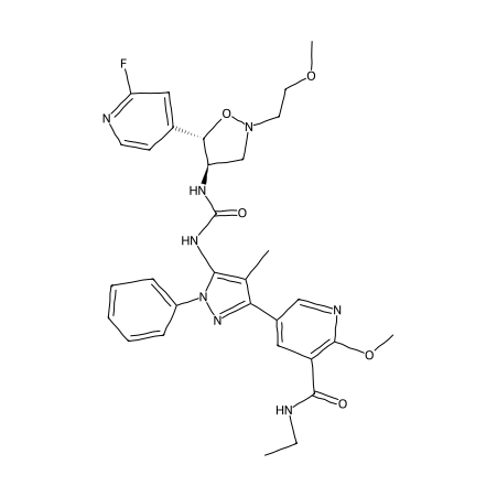 CCNC(=O)c1cc(-c2nn(-c3ccccc3)c(NC(=O)N[C@@H]3CN(CCOC)O[C@H]3c3ccnc(F)c3)c2C)cnc1OC